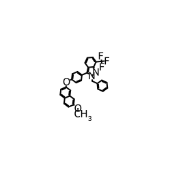 COc1ccc2ccc(Oc3ccc(-c4c5cccc(C(F)(F)F)c5nn4Cc4ccccc4)cc3)cc2c1